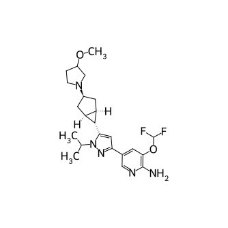 COC1CCN([C@H]2C[C@@H]3[C@H](C2)[C@H]3c2cc(-c3cnc(N)c(OC(F)F)c3)nn2C(C)C)C1